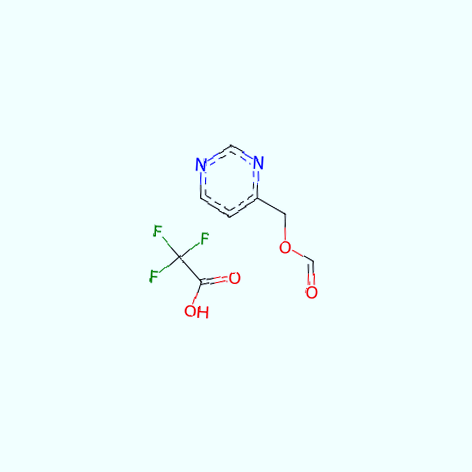 O=C(O)C(F)(F)F.O=COCc1ccncn1